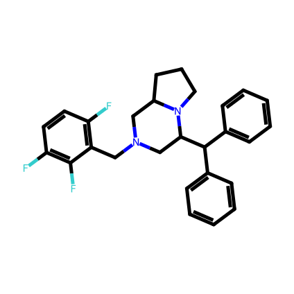 Fc1ccc(F)c(CN2CC3CCCN3C(C(c3ccccc3)c3ccccc3)C2)c1F